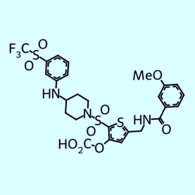 COc1cccc(C(=O)NCc2cc(OC(=O)O)c(S(=O)(=O)N3CCC(Nc4cccc(S(=O)(=O)C(F)(F)F)c4)CC3)s2)c1